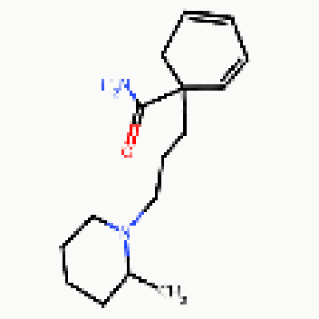 CC1CCCCN1CCCC1(C(N)=O)C=CC=CC1